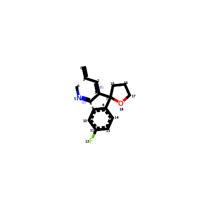 C=C/C=C(\C=N/C)C1(c2ccc(F)cc2)CCCO1